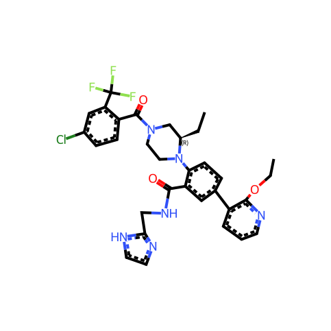 CCOc1ncccc1-c1ccc(N2CCN(C(=O)c3ccc(Cl)cc3C(F)(F)F)C[C@H]2CC)c(C(=O)NCc2ncc[nH]2)c1